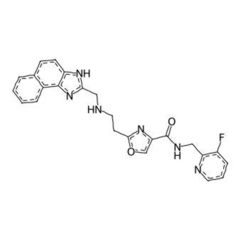 O=C(NCc1ncccc1F)c1coc(CCNCc2nc3c(ccc4ccccc43)[nH]2)n1